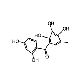 Cc1cc(C(=O)c2ccc(O)cc2O)c(O)c(O)c1O